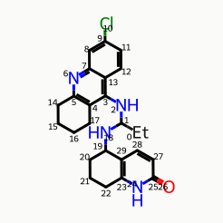 CCC(Nc1c2c(nc3cc(Cl)ccc13)CCCC2)NC1CCCc2[nH]c(=O)ccc21